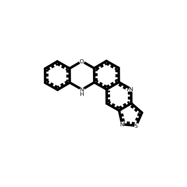 c1ccc2c(c1)Nc1c(ccc3nc4csnc4cc13)O2